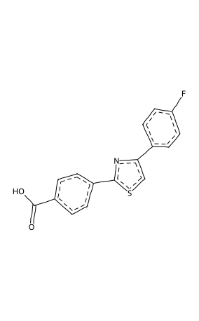 O=C(O)c1ccc(-c2nc(-c3ccc(F)cc3)cs2)cc1